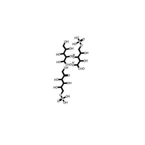 O=C(CO)C(O)C(O)C(O)COP(=O)(O)O.O=CC(O)C(O)C(O)C(O)CO.O=CC(O)C(O)C(O)C(O)COP(=O)(O)O